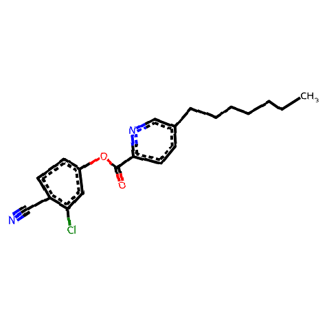 CCCCCCCc1ccc(C(=O)Oc2ccc(C#N)c(Cl)c2)nc1